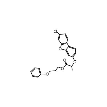 CC(Oc1ccc2c(c1)oc1cc(Cl)ccc12)C(=O)OCCCOc1ccccc1